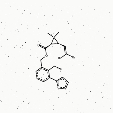 CC1(C)[C@H](C(=O)OCc2cccc(-c3cccs3)c2CF)[C@@H]1C=C(Br)Br